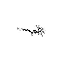 C=C(C1CCN(C(=O)C#CCCCCC)C1)N(C)CC(C)C